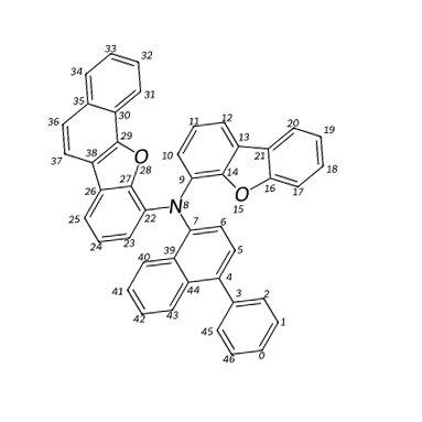 c1ccc(-c2ccc(N(c3cccc4c3oc3ccccc34)c3cccc4c3oc3c5ccccc5ccc43)c3ccccc23)cc1